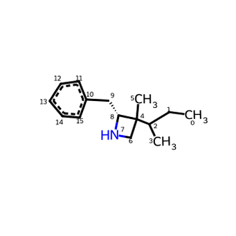 CCC(C)C1(C)CN[C@@H]1Cc1ccccc1